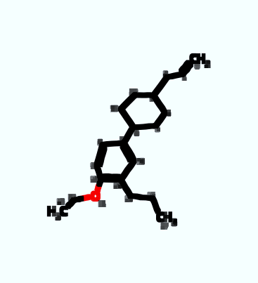 C=CCC1CCC(c2ccc(OCC)c(CCC)c2)CC1